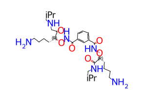 CC(C)CNCC(=O)[C@@H](CCCCN)ONC(=O)c1cccc(C(=O)NO[C@H](CCCCN)C(=O)NCC(C)C)c1